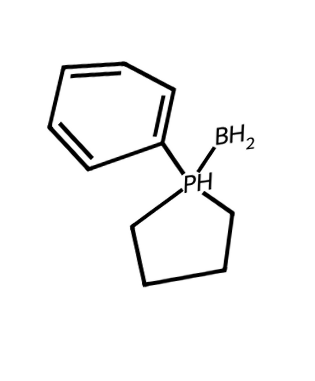 B[PH]1(c2ccccc2)CCCC1